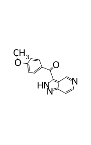 COc1ccc(C(=O)c2[nH]nc3ccncc23)cc1